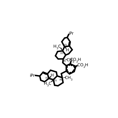 CC(C)C1C=C2CCC3[C@@](C)(Cc4ccc(C(=O)O)c(C(=O)O)c4C[C@@]4(C)CCC[C@@]5(C)C4CCC4=CC(C(C)C)CC[C@H]45)CCC[C@]3(C)[C@@H]2CC1